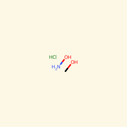 CO.Cl.NO